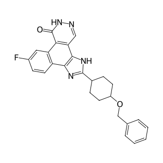 O=c1[nH]ncc2c3[nH]c(C4CCC(OCc5ccccc5)CC4)nc3c3ccc(F)cc3c12